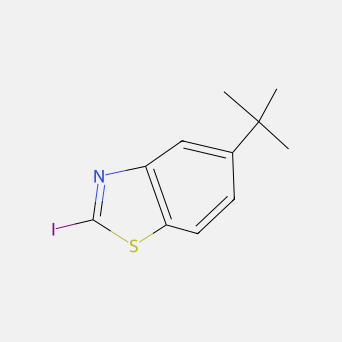 CC(C)(C)c1ccc2sc(I)nc2c1